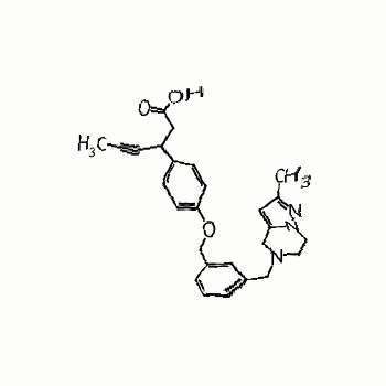 CC#CC(CC(=O)O)c1ccc(OCc2cccc(CN3CCn4nc(C)cc4C3)c2)cc1